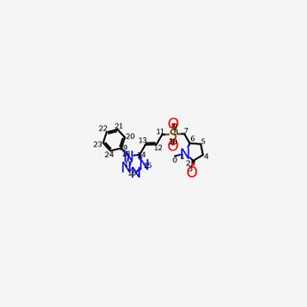 CN1C(=O)CCC1CS(=O)(=O)CC=Cc1nnnn1-c1ccccc1